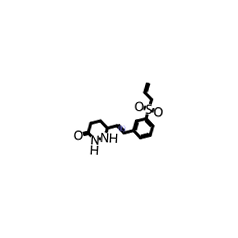 C=CCS(=O)(=O)c1cccc(/C=C/C2CCC(=O)NN2)c1